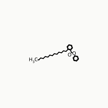 CCCCCCCCCCCCCCc1ccccc1C(=O)Oc1ccccc1